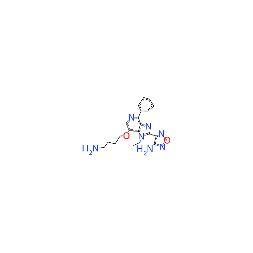 CCn1c(-c2nonc2N)nc2c(-c3ccccc3)ncc(OCCCCN)c21